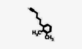 [C]#CCCCCc1cccc(C)c1C